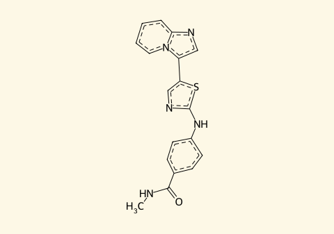 CNC(=O)c1ccc(Nc2ncc(-c3cnc4ccccn34)s2)cc1